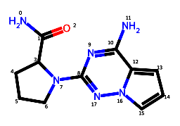 NC(=O)C1CCCN1c1nc(N)c2cccn2n1